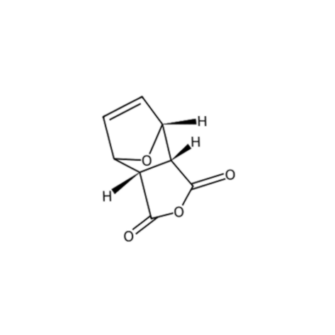 O=C1OC(=O)[C@@H]2C3C=C[C@@H](O3)[C@H]12